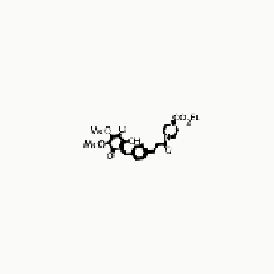 CCOC(=O)N1CCN(C(=O)CCc2ccc(CC3=C(C)C(=O)C(OC)=C(OC)C3=O)cc2)CC1